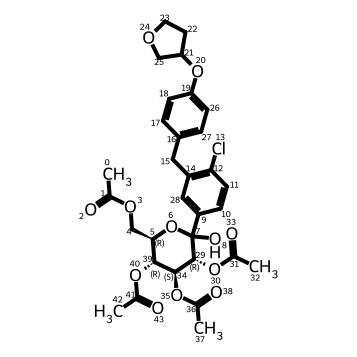 CC(=O)OC[C@H]1OC(O)(c2ccc(Cl)c(Cc3ccc(OC4CCOC4)cc3)c2)[C@H](OC(C)=O)[C@@H](OC(C)=O)[C@@H]1OC(C)=O